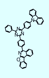 c1ccc(-c2nc(-c3ccc(-c4nc5oc6ccccc6c5c5ccccc45)cc3)nc(-c3ccc(-n4c5ccccc5c5ccccc54)cc3)n2)cc1